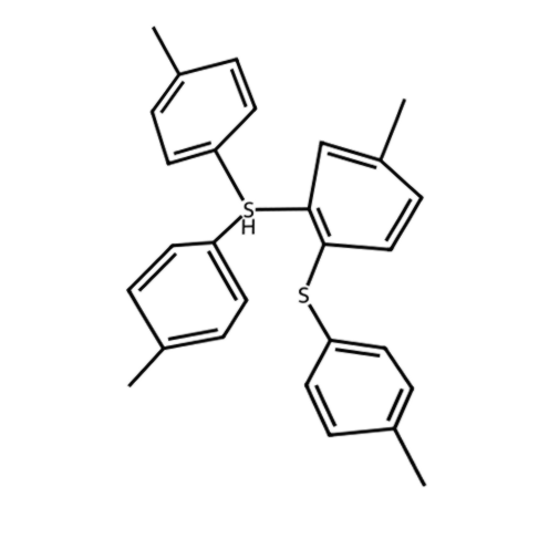 Cc1ccc(Sc2ccc(C)cc2[SH](c2ccc(C)cc2)c2ccc(C)cc2)cc1